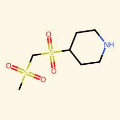 CS(=O)(=O)CS(=O)(=O)C1CCNCC1